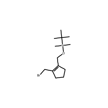 CC(C)(C)[Si](C)(C)OCC1=C(CBr)CCC1